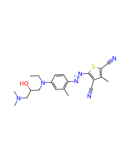 CCN(CC(O)CN(C)C)c1ccc(/N=N/c2sc(C#N)c(C)c2C#N)c(C)c1